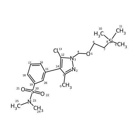 Cc1nn(COCC[Si](C)(C)C)c(Cl)c1-c1cccc(S(=O)(=O)N(C)C)c1